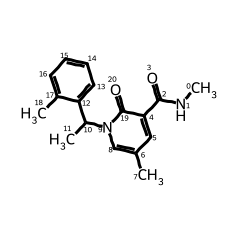 CNC(=O)c1cc(C)cn(C(C)c2ccccc2C)c1=O